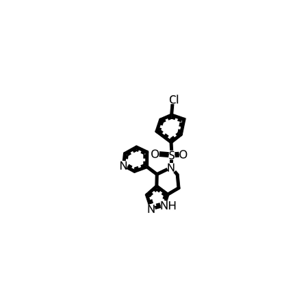 O=S(=O)(c1ccc(Cl)cc1)N1CCc2[nH]ncc2C1c1cccnc1